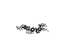 CNC(=O)c1cc2c(Oc3ccc(NC(=O)Nc4cc(C(C)(C)C)n[nH]4)c(Cl)c3)ccnc2cc1OC